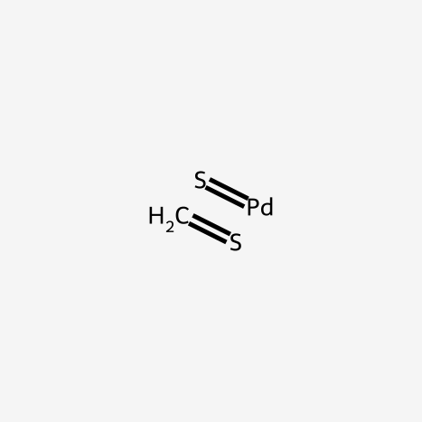 C=S.[S]=[Pd]